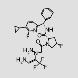 N/C=C(\N(N)CC(=O)N1C[C@H](F)C[C@H]1C(=O)N[C@@H](c1ccccc1)c1ccc(C2CC2)c(F)n1)C(F)(F)F